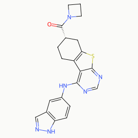 O=C([C@H]1CCc2c(sc3ncnc(Nc4ccc5[nH]ncc5c4)c23)C1)N1CCC1